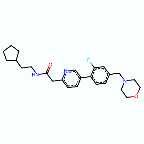 O=C(Cc1ccc(-c2ccc(CN3CCOCC3)cc2F)cn1)NCCC1CCCC1